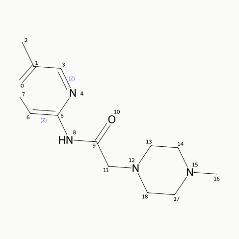 C=C(C)/C=N\C(=C/C)NC(=O)CN1CCN(C)CC1